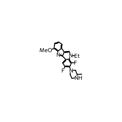 CCn1cc2c3cccc(OC)c3nc-2c2cc(F)c(N3CCNC(C)C3)c(F)c21